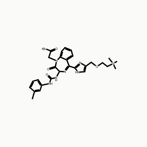 Cc1cccc(NC(=O)NC2N=C(c3nc(COCC[Si](C)(C)C)c[nH]3)c3ccccc3N(CC(=O)C(C)(C)C)C2=O)c1